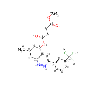 COC(=O)CCC(=O)OC1CC(C)Cc2nnc(-c3cccc(C(F)(F)F)c3)cc21